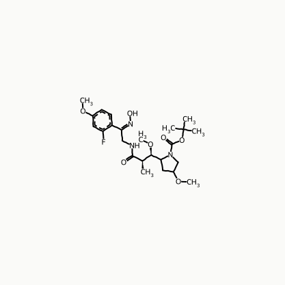 COc1ccc(/C(CNC(=O)[C@H](C)[C@@H](OC)C2CC(OC)CN2C(=O)OC(C)(C)C)=N\O)c(F)c1